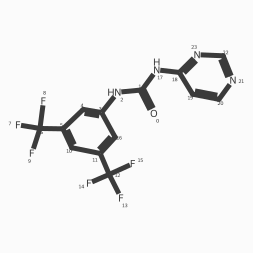 O=C(Nc1cc(C(F)(F)F)cc(C(F)(F)F)c1)Nc1ccncn1